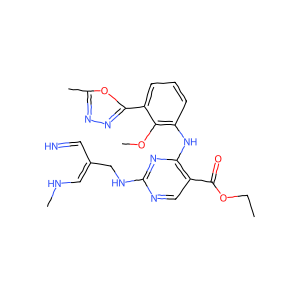 CCOC(=O)c1cnc(NC/C(C=N)=C/NC)nc1Nc1cccc(-c2nnc(C)o2)c1OC